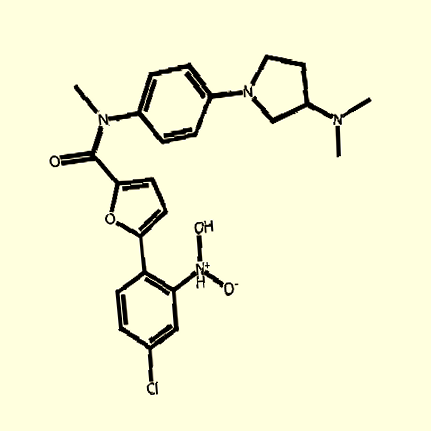 CN(C(=O)c1ccc(-c2ccc(Cl)cc2[NH+]([O-])O)o1)c1ccc(N2CCC(N(C)C)C2)cc1